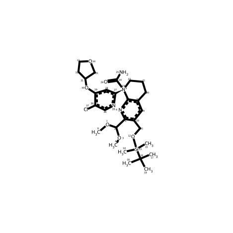 COC(OC)c1nc2c(cc1CO[Si](C)(C)C(C)(C)C)CCC[N@+]2(C(N)=O)c1cc(OC2CCOC2)c(Cl)cn1